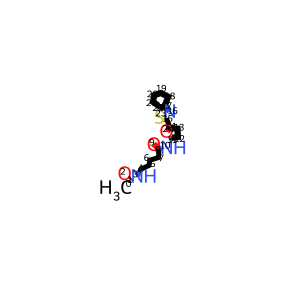 CC(=O)NCCCCC(=O)Nc1ccc(-c2nc3ccccc3s2)o1